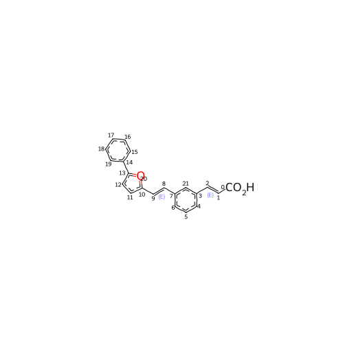 O=C(O)/C=C/c1cccc(/C=C/c2ccc(-c3ccccc3)o2)c1